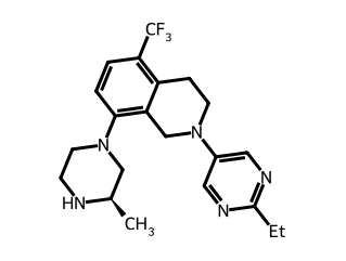 CCc1ncc(N2CCc3c(C(F)(F)F)ccc(N4CCN[C@H](C)C4)c3C2)cn1